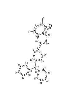 Cc1cn(C)c2cc(-c3ccc(N(c4ccccc4)c4ccccc4)cc3)ccc2c1=O